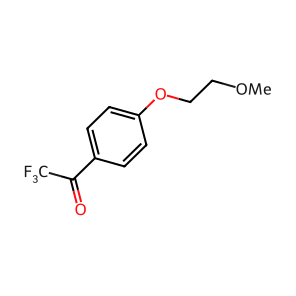 COCCOc1ccc(C(=O)C(F)(F)F)cc1